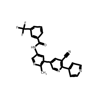 Cc1ncc(NC(=O)c2cccc(C(F)(F)F)c2)cc1-c1cnc(-c2ccncc2)c(C#N)c1